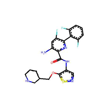 Nc1cc(F)c(-c2c(F)cccc2F)nc1C(=O)Nc1cnsc1OCC1CCCNC1